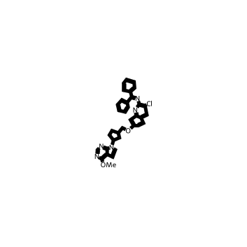 COc1ncnc2c1ccn2C1CCC(COc2ccc3cc(Cl)c(N=C(c4ccccc4)c4ccccc4)nc3c2)C1